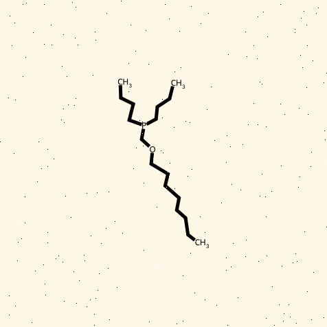 CCCCCCCCOCP(CCCC)CCCC